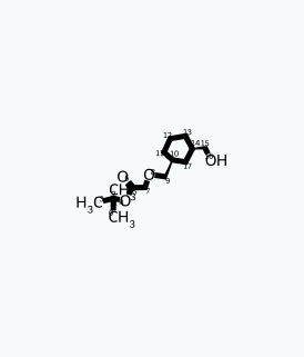 CC(C)(C)OC(=O)COC[C@H]1CCC[C@@H](CO)C1